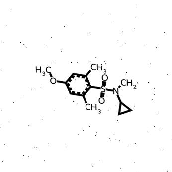 [CH2]N(C1CC1)S(=O)(=O)c1c(C)cc(OC)cc1C